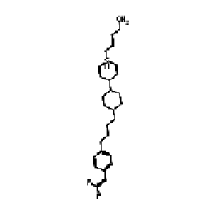 CCCCC[SiH]1CCC(C2CCC(CCCCc3ccc(C=C(F)F)cc3)CC2)CC1